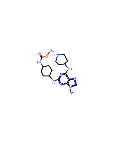 CC(C)n1cnc2c(NC3CCNCC3)nc(NC3CCC(NC(=O)OC(C)(C)C)CC3)nc21